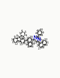 CC1(c2ccccc2)c2ccccc2-c2ccc(-c3ccc(-c4cc(-c5cccc6ccccc56)nc(-c5ccccc5)n4)c4ccccc34)cc21